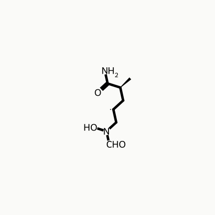 C[C@@H](C[CH]CN(O)C=O)C(N)=O